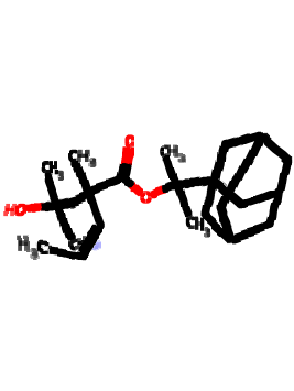 C/C=C\C(C)(C(=O)OC(C)(C)C12CC3CC(CC(C3)C1)C2)C(C)(C)O